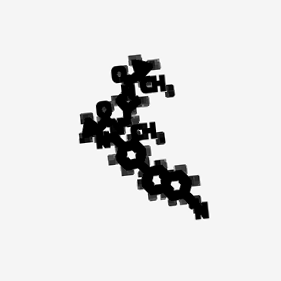 Cc1cc(-c2ccc3cc(C#N)ccc3c2)ccc1C1=NC2(CC2)C(=O)N1CC1CN(C(=O)C2(C)CC2)C1